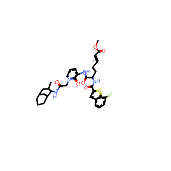 COC(=O)/C=C/CCC(NC(=O)c1cc2cccc(F)c2s1)C(=O)Nc1cccn(CC(=O)NC2C(C)CC3CCCC2C3)c1=O